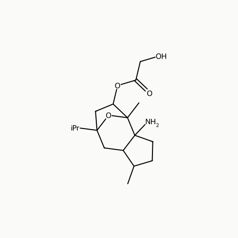 CC1CCC2(N)C1CC1(C(C)C)CC(OC(=O)CO)C2(C)O1